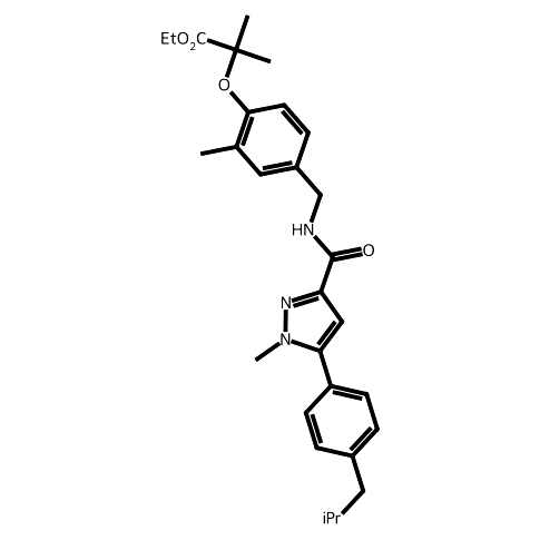 CCOC(=O)C(C)(C)Oc1ccc(CNC(=O)c2cc(-c3ccc(CC(C)C)cc3)n(C)n2)cc1C